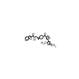 Cc1nn(C)cc1-c1cc(C(=O)N2CCC3(CC2)CC3CNC(=O)c2cc3ccncc3o2)no1